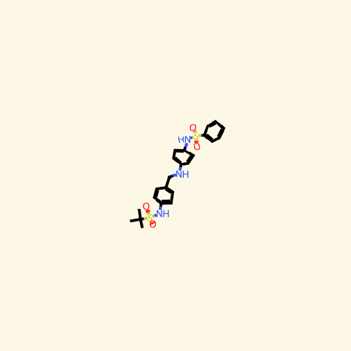 CC(C)(C)S(=O)(=O)Nc1ccc(CNc2ccc(NS(=O)(=O)c3ccccc3)cc2)cc1